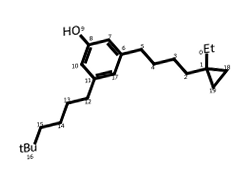 CCC1(CCCCc2cc(O)cc(CCCCC(C)(C)C)c2)CC1